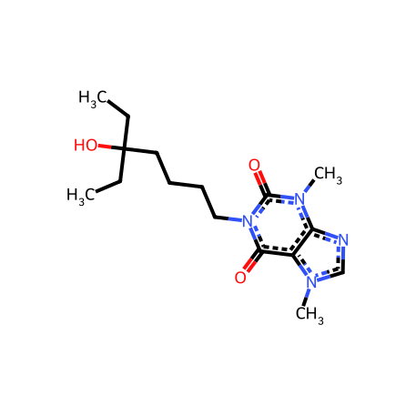 CCC(O)(CC)CCCCn1c(=O)c2c(ncn2C)n(C)c1=O